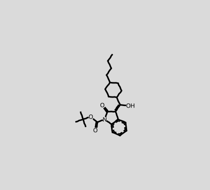 CCCCC1CCC(C(O)=C2C(=O)N(C(=O)OC(C)(C)C)c3ccccc32)CC1